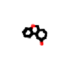 O=C1CCCC2COC3C=CC=CC3C2C1